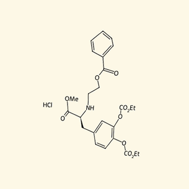 CCOC(=O)Oc1ccc(C[C@H](NCCOC(=O)c2ccccc2)C(=O)OC)cc1OC(=O)OCC.Cl